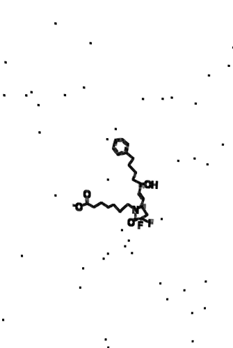 COC(=O)CCCCCCN1C(=O)C(F)(F)C[C@@H]1C=C[C@H](O)CCCCc1ccccc1